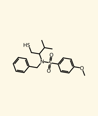 COc1ccc(S(=O)(=O)N(Cc2ccccc2)C(CS)C(C)C)cc1